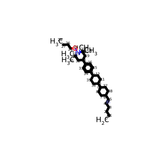 C=CCC/C=C/C1CCC(C2CCC(c3ccc(C4CC(C)(C)N(OCCCC)C(C)(C)C4)cc3)CC2)CC1